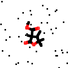 COC(=O)C1(C)C(=O)OC(C)(C)C1C